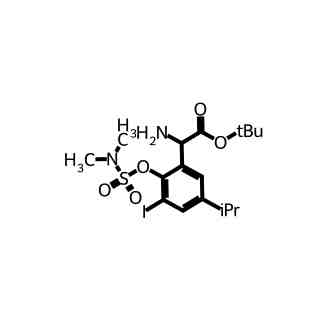 CC(C)c1cc(I)c(OS(=O)(=O)N(C)C)c(C(N)C(=O)OC(C)(C)C)c1